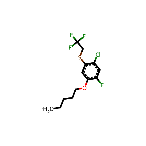 [CH2]CCCCOc1cc(SCC(F)(F)F)c(Cl)cc1F